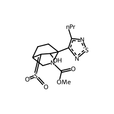 CCCc1nsnc1C12CCC(CN1C(=O)OC)C(=S(=O)=O)C2O